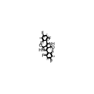 O=C1NC(c2c(F)cc(F)cc2F)=C2C(=O)NC(c3c(F)cc(F)cc3F)=C12